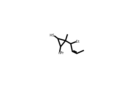 C/C=C\C(CC)C1(C)C(S)C1CCC